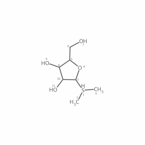 C[SH](C)C1OC(CO)C(O)C1O